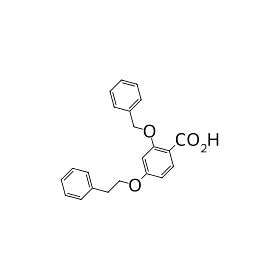 O=C(O)c1ccc(OCCc2ccccc2)cc1OCc1ccccc1